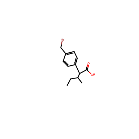 CCC(C)C(C(=O)O)c1ccc(CBr)cc1